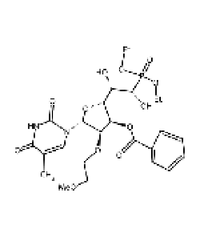 CCOP(=O)(OCC)[C@H](O)[C@@H](O)[C@H]1O[C@@H](n2cc(C)c(=O)[nH]c2=O)[C@H](OCCOC)[C@@H]1OC(=O)c1ccccc1